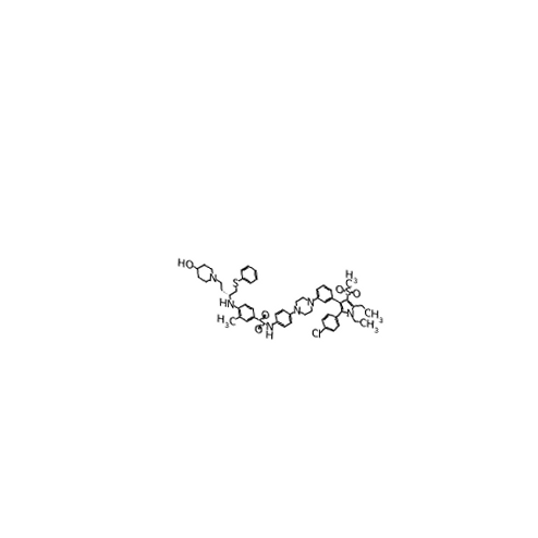 CCc1c(S(C)(=O)=O)c(-c2cccc(N3CCN(c4ccc(NS(=O)(=O)c5ccc(N[C@H](CCN6CCC(O)CC6)CSc6ccccc6)c(C)c5)cc4)CC3)c2)c(-c2ccc(Cl)cc2)n1CC